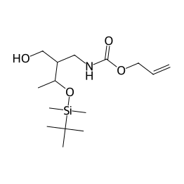 C=CCOC(=O)NCC(CO)C(C)O[Si](C)(C)C(C)(C)C